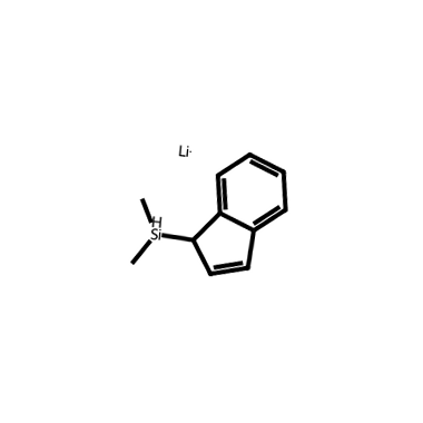 C[SiH](C)C1C=Cc2ccccc21.[Li]